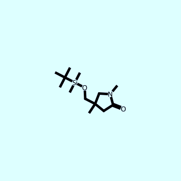 CN1CC(C)(CO[Si](C)(C)C(C)(C)C)CC1=O